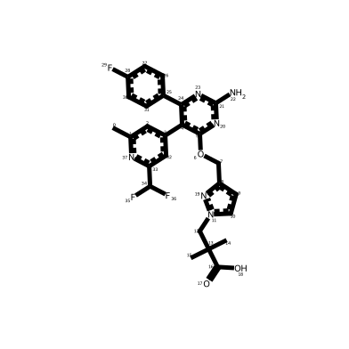 Cc1cc(-c2c(OCc3ccn(CC(C)(C)C(=O)O)n3)nc(N)nc2-c2ccc(F)cc2)cc(C(F)F)n1